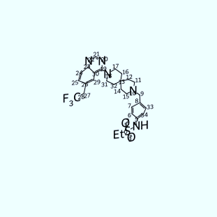 CCS(=O)(=O)Nc1ccc(CN2CCC3(CC2)CCN(c2ncnc4ccc(CC(F)(F)F)cc24)CC3)cc1